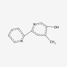 Cc1cc(-c2ccccn2)ncc1O